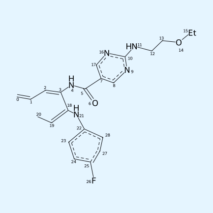 C=C/C=C(NC(=O)c1cnc(NCCOCC)nc1)\C(=C/C)Nc1ccc(F)cc1